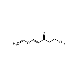 C=COC=CC(=O)CCC